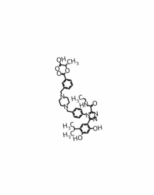 CCNC(=O)c1nnc(-c2cc(C(C)C)c(O)cc2O)n1-c1ccc(CN2CCN(Cc3cccc(C(=O)OC(C)C(=O)O)c3)CC2)cc1